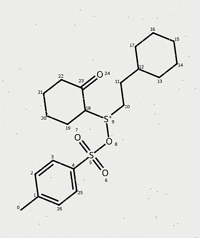 Cc1ccc(S(=O)(=O)O[S+](CCC2CCCCC2)C2CCCCC2=O)cc1